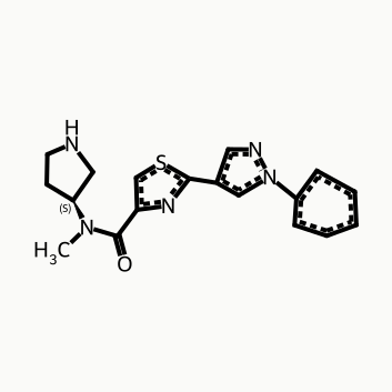 CN(C(=O)c1csc(-c2cnn(-c3ccccc3)c2)n1)[C@H]1CCNC1